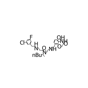 CCCCC(C)N(CCNCCc1ccc(O)c2c1OCC(=O)N2)C(=O)CCNCCc1cc(F)cc(Cl)c1